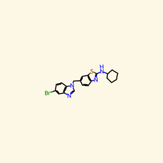 Brc1ccc2c(c1)ncn2Cc1ccc2nc(NC3CCCCC3)sc2c1